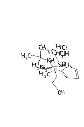 C[SiH](C)[Ti]([CH3])(=[SiH2])([CH2]CO)([NH]C(C)(C)C)[C]1=CC=CC1.Cl.Cl